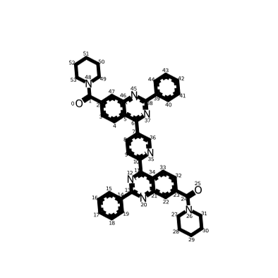 O=C(c1ccc2c(-c3ccc(-c4nc(-c5ccccc5)nc5cc(C(=O)N6CCCCC6)ccc45)nc3)nc(-c3ccccc3)nc2c1)N1CCCCC1